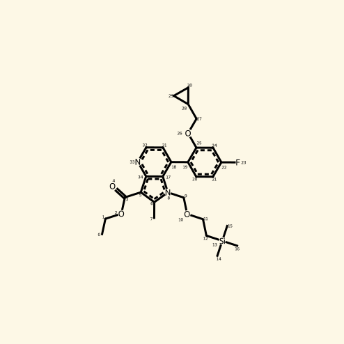 CCOC(=O)c1c(C)n(COCC[Si](C)(C)C)c2c(-c3ccc(F)cc3OCC3CC3)ccnc12